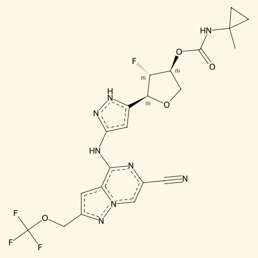 CC1(NC(=O)O[C@H]2CO[C@@H](c3cc(Nc4nc(C#N)cn5nc(COC(F)(F)F)cc45)n[nH]3)[C@@H]2F)CC1